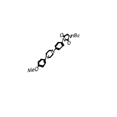 CCCCN1CC(=O)N(c2ccc(N3CCN(c4ccc(OC)cc4)CC3)cc2)C1=O